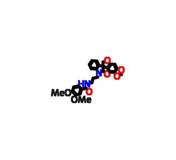 COc1ccc(C(=O)NCCCN2C(=O)C3(COc4cc5c(cc43)OCO5)c3ccccc32)cc1OC